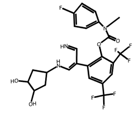 CN(C(=O)Oc1c(/C(C=N)=C/NC2CC(O)C(O)C2)cc(C(F)(F)F)cc1C(F)(F)F)c1ccc(F)cc1